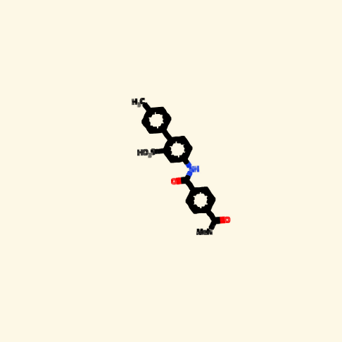 CNC(=O)c1ccc(C(=O)Nc2ccc(-c3ccc(C)cc3)c(S(=O)(=O)O)c2)cc1